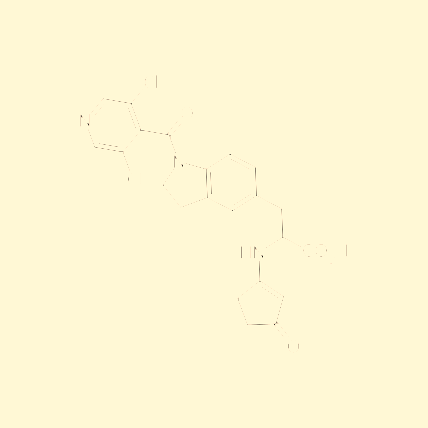 O=C1C=C(NC(Cc2ccc3c(c2)CCN3C(=O)c2c(Cl)cncc2Cl)C(=O)O)CC1